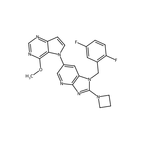 COc1ncnc2ccn(-c3cnc4nc(N5CCC5)n(Cc5cc(F)ccc5F)c4c3)c12